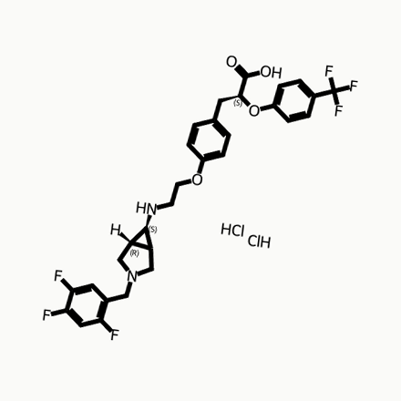 Cl.Cl.O=C(O)[C@H](Cc1ccc(OCCN[C@H]2C3CN(Cc4cc(F)c(F)cc4F)C[C@@H]32)cc1)Oc1ccc(C(F)(F)F)cc1